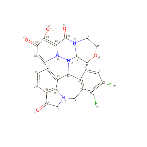 O=C1CN2Cc3c(ccc(F)c3F)C(N3C4COCCN4C(=O)c4c(O)c(=O)ccn43)c3cccc1c32